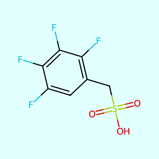 O=S(=O)(O)Cc1cc(F)c(F)c(F)c1F